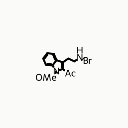 COn1c(C(C)=O)c(CCNBr)c2ccccc21